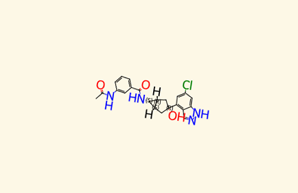 CC(=O)Nc1cccc(C(=O)N[C@@H]2[C@@H]3C[C@@](O)(c4cc(Cl)cc5[nH]ncc45)C[C@@H]32)c1